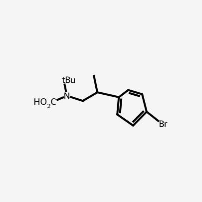 CC(CN(C(=O)O)C(C)(C)C)c1ccc(Br)cc1